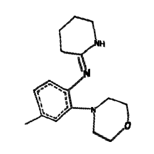 Cc1ccc(/N=C2\CCCCN2)c(N2CCOCC2)c1